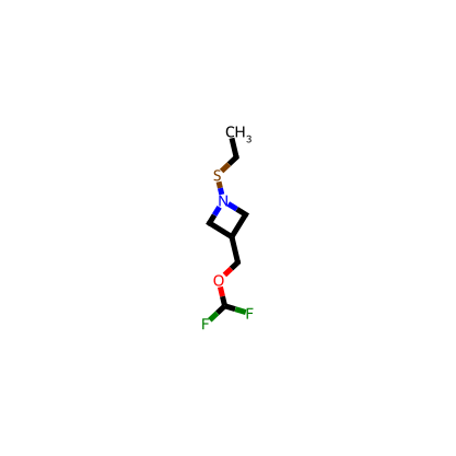 CCSN1CC(COC(F)F)C1